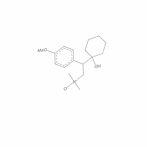 COc1ccc(C(C[N+](C)(C)[O-])C2(O)CCCCC2)cc1